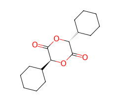 O=C1O[C@H](C2CCCCC2)C(=O)O[C@H]1C1CCCCC1